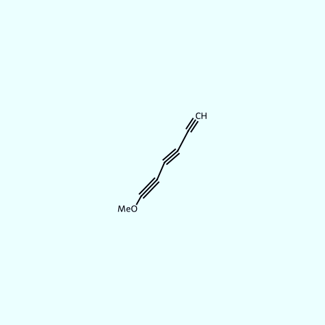 C#CC#CC#COC